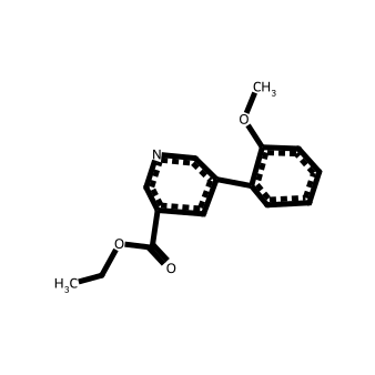 CCOC(=O)c1cncc(-c2ccccc2OC)c1